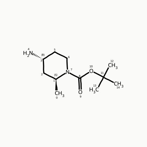 C[C@H]1C[C@H](N)CCN1C(=O)OC(C)(C)C